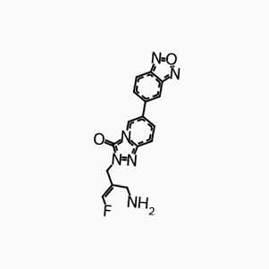 NC/C(=C\F)Cn1nc2ccc(-c3ccc4nonc4c3)cn2c1=O